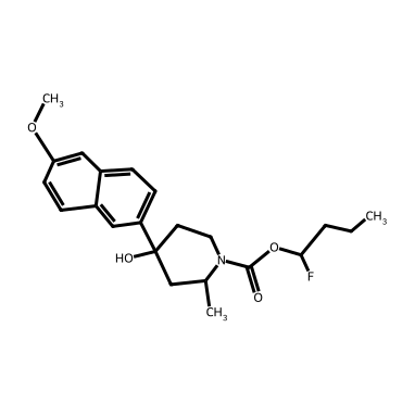 CCCC(F)OC(=O)N1CCC(O)(c2ccc3cc(OC)ccc3c2)CC1C